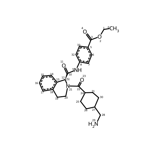 CCOC(=O)c1ccc(NC(=O)[C@@H]2c3ccccc3CCN2C(=O)C2CCC(CN)CC2)cc1